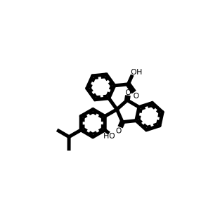 CC(C)c1ccc(C2(c3ccccc3C(=O)O)C(=O)c3ccccc3C2=O)c(O)c1